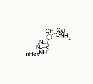 CCCCCCNc1ncnc2c(C3CC(O)C(COS(N)(=O)=O)C3)csc12